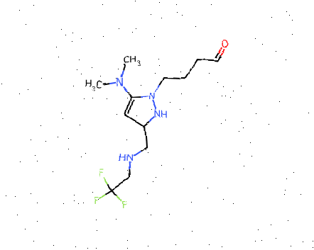 CN(C)C1=CC(CNCC(F)(F)F)NN1CCCC=O